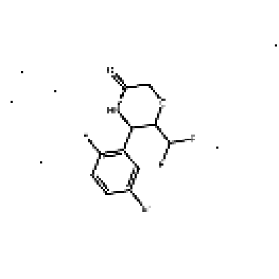 O=C1COC(C(F)F)C(c2cc(Br)ccc2F)N1